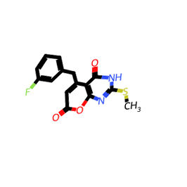 CSc1nc2oc(=O)cc(Cc3cccc(F)c3)c2c(=O)[nH]1